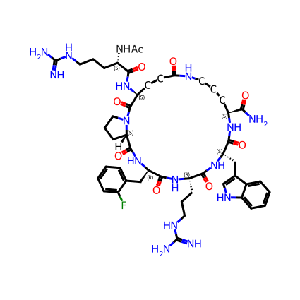 CC(=O)N[C@@H](CCCNC(=N)N)C(=O)N[C@H]1CCC(=O)NCCC[C@@H](C(N)=O)NC(=O)[C@H](Cc2c[nH]c3ccccc23)NC(=O)[C@H](CCCNC(=N)N)NC(=O)[C@@H](Cc2ccccc2F)NC(=O)[C@@H]2CCCN2C1=O